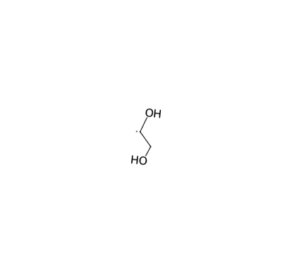 O[CH]CO